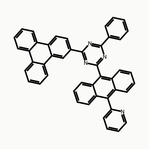 c1ccc(-c2nc(-c3ccc4c5ccccc5c5ccccc5c4c3)nc(-c3c4ccccc4c(-c4ccccn4)c4ccccc34)n2)cc1